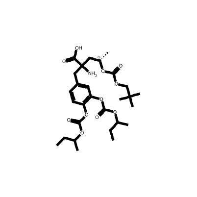 CCC(C)OC(=O)Oc1ccc(CC(N)(C[C@H](C)OC(=O)OCC(C)(C)C)C(=O)O)cc1OC(=O)OC(C)CC